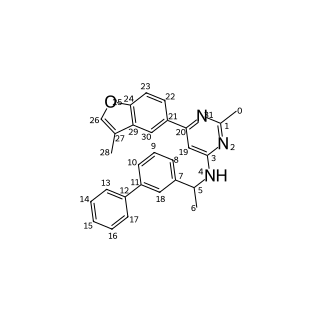 Cc1nc(NC(C)c2cccc(-c3ccccc3)c2)cc(-c2ccc3occ(C)c3c2)n1